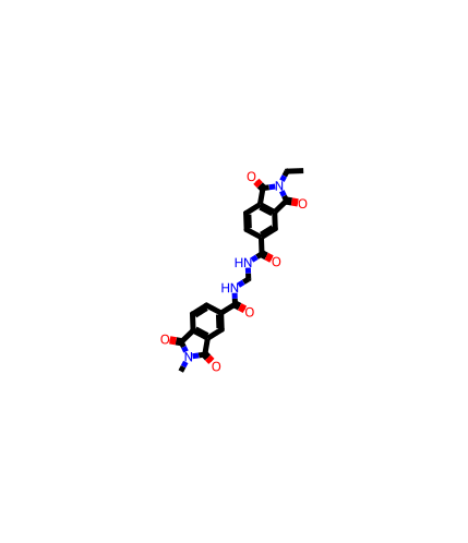 CCN1C(=O)c2ccc(C(=O)NCNC(=O)c3ccc4c(c3)C(=O)N(C)C4=O)cc2C1=O